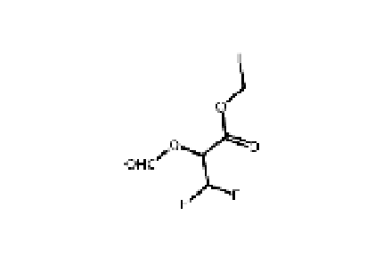 O=[C]OC(C(=O)OCI)C(F)F